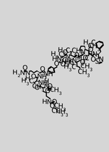 CC[C@H](C)[C@@H]([C@@H](CC(=O)N1CCC[C@H]1[C@H](OC)[C@@H](C)C(=O)N[C@@H](Cc1cccc(C)c1)c1nccs1)OC)N(C)C(=O)[C@@H](NC(=O)C(C)(C)NC(=O)OCc1ccc(NC(=O)[C@H](CCCNC(N)=O)NC(=O)[C@@H](NC(=O)[C@@H](CCCCNC(=O)OC(C)(C)C)NS(C)(=O)=O)C(C)C)cc1)C(C)C